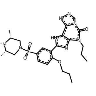 CCCOc1ccc(S(=O)(=O)N2C[C@@H](C)N[C@@H](C)C2)cc1-c1nc2c([nH]1)c1nncn1c(=O)n2CCC